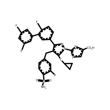 NS(=O)(=O)c1ccc(Cc2c(-c3ccc(F)c(-c4cc(F)cc(F)c4)c3)nn(-c3nc(C(=O)O)cs3)c2CC2CC2)cc1F